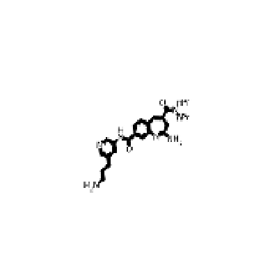 CCCN(CCC)C(=O)C1=Cc2ccc(C(=O)Nc3cncc(CCCN)c3)cc2N=C(N)C1